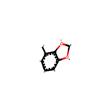 Cc1[c]ccc2c1OCO2